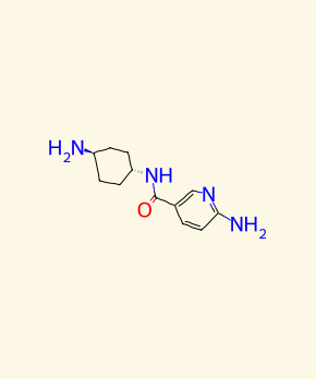 Nc1ccc(C(=O)N[C@H]2CC[C@H](N)CC2)cn1